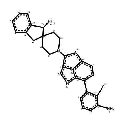 Nc1cccc(-c2ccc3nc(N4CCC5(CC4)Cc4ccccc4[C@H]5N)c4cnc2n34)c1Cl